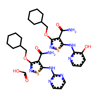 NC(=O)c1c(OCC2CCCCC2)nsc1Nc1ncccc1O.NC(=O)c1c(OCC2CCCCC2)nsc1Nc1ncccn1.O=CO